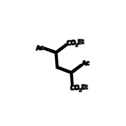 CCOC(=O)C(CC(C(C)=O)C(=O)OCC)C(C)=O